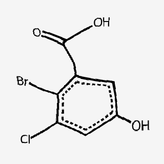 O=C(O)c1cc(O)cc(Cl)c1Br